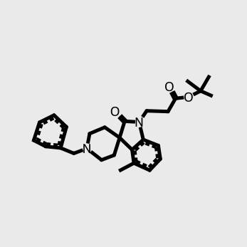 Cc1cccc2c1C1(CCN(Cc3ccccc3)CC1)C(=O)N2CCC(=O)OC(C)(C)C